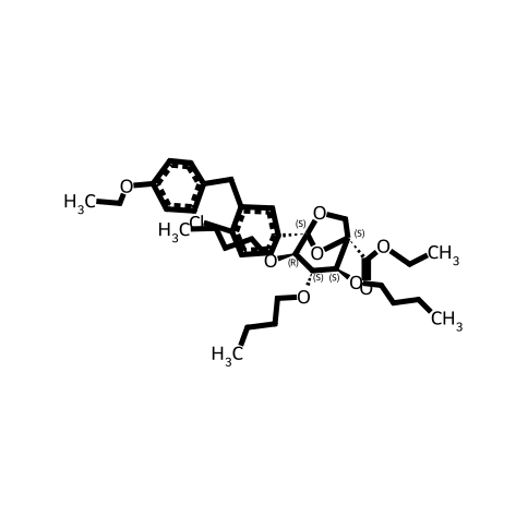 CCCCO[C@@H]1[C@@H](OCCCC)[C@@]2(c3ccc(Cl)c(Cc4ccc(OCC)cc4)c3)OC[C@](C(=O)OCC)(O2)[C@H]1OCCCC